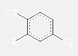 [CH2]c1ccc(C(F)(F)F)cc1Cl